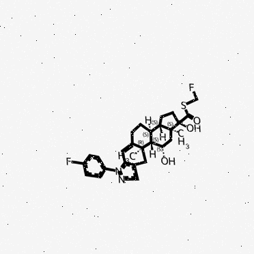 C[C@]12Cc3cnn(-c4ccc(F)cc4)c3C=C1CC[C@@H]1[C@@H]2[C@@H](O)C[C@@]2(C)[C@H]1CC[C@]2(O)C(=O)SCF